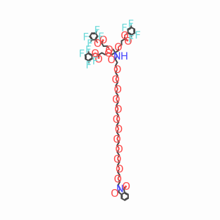 O=C(CCOCCOCCOCCOCCOCCOCCOCCOCCOCCOCCOCCOCCN1C(=O)c2ccccc2C1=O)NC(COCCC(=O)Oc1c(F)c(F)cc(F)c1F)(COCCC(=O)Oc1c(F)c(F)cc(F)c1F)COCCC(=O)Oc1c(F)c(F)cc(F)c1F